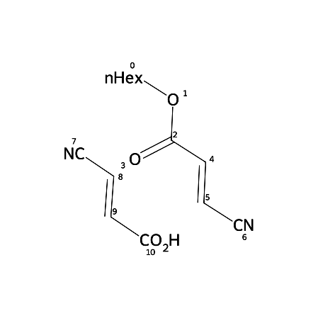 CCCCCCOC(=O)C=CC#N.N#CC=CC(=O)O